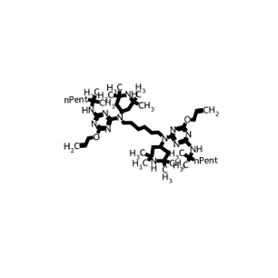 C=CCOc1nc(NC(C)(C)CCCCC)nc(N(CCCCCCN(c2nc(NC(C)(C)CCCCC)nc(OCC=C)n2)C2CC(C)(C)NC(C)(C)C2)C2CC(C)(C)NC(C)(C)C2)n1